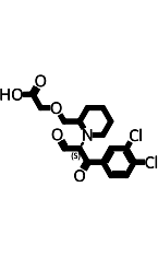 O=C[C@@H](C(=O)c1ccc(Cl)c(Cl)c1)N1CCCCC1COCC(=O)O